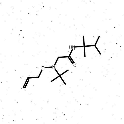 C=CCON(CC(=O)NC(C)(C)C(C)C)C(C)(C)C